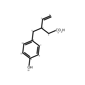 C=CC(CC(=O)O)Cc1ccc(O)cc1